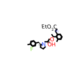 CCOC(=O)/C=C/c1cccc(C)c1C(C)OC[C@H](O)CN1CCC[C@H]1Cc1ccc(C)c(F)c1